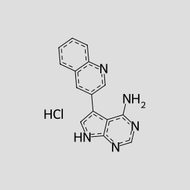 Cl.Nc1ncnc2[nH]cc(-c3cnc4ccccc4c3)c12